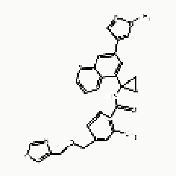 Cc1cc(COCc2cocn2)ccc1C(=O)NC1(c2cc(-c3cnn(C)c3)cc3ncccc23)CC1